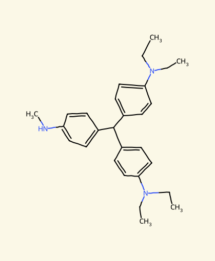 CCN(CC)c1ccc(C(c2ccc(NC)cc2)c2ccc(N(CC)CC)cc2)cc1